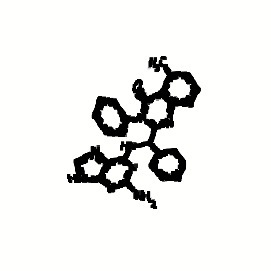 Cc1cccc2nc(C(Nc3nc(N)nc4[nH]cnc34)c3ccccc3)n(-c3ccccc3)c(=O)c12